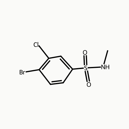 CNS(=O)(=O)c1ccc(Br)c(Cl)c1